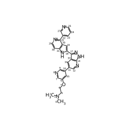 CN(C)CCOc1cncc(-c2cnc3[nH]nc(-c4cc5c(-c6cccnc6)nccc5[nH]4)c3c2)c1